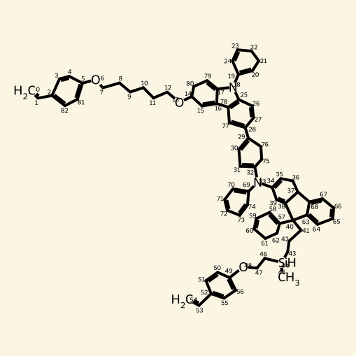 C=Cc1ccc(OCCCCCCOC2C=c3c(n(C4=CCCC=C4)c4ccc(C5=CC=C(N(C6=CCC7C(=C6)C(CCC[SiH](C)CCOc6ccc(C=C)cc6)(C6=CC=CCC6)c6ccccc67)c6ccccc6)CC5)cc34)=CC2)cc1